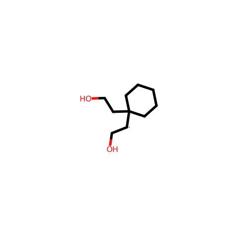 OC[CH]C1(CCO)CCCCC1